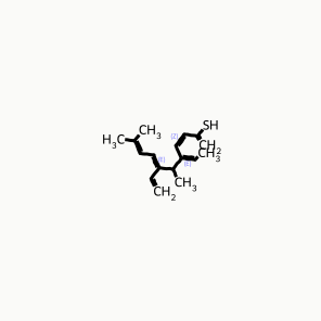 C=C/C(=C\C=C(C)C)C(C)C(/C=C\C(=C)S)=C/C